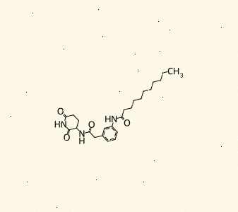 CCCCCCCCCCC(=O)Nc1cccc(CC(=O)NC2CCC(=O)NC2=O)c1